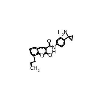 C=CCc1cccc2cc(C(=O)Nc3ccc(C4(N)CC4)cc3)c(=O)oc12